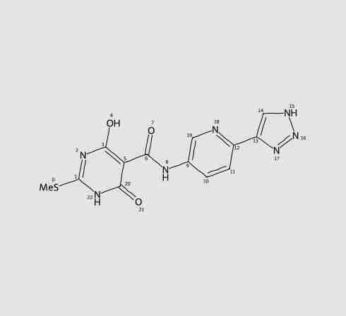 CSc1nc(O)c(C(=O)Nc2ccc(-c3c[nH]nn3)nc2)c(=O)[nH]1